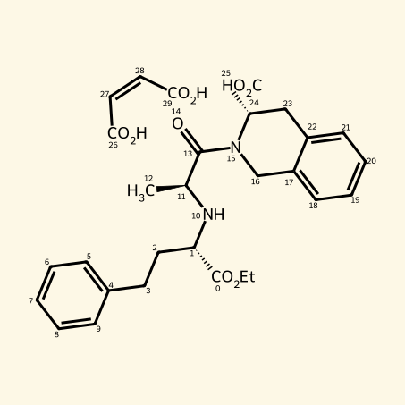 CCOC(=O)[C@H](CCc1ccccc1)N[C@@H](C)C(=O)N1Cc2ccccc2C[C@H]1C(=O)O.O=C(O)/C=C\C(=O)O